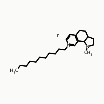 CCCCCCCCCCC[n+]1ccc2c(c1)C1C(CC2)CCN1C.[I-]